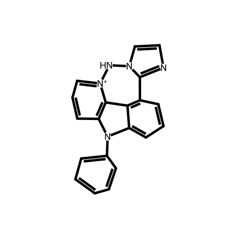 c1ccc(-n2c3cccc4c3c3c2ccc[n+]3[nH]n2ccnc42)cc1